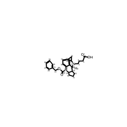 [2H]C1(N(CCCC(=O)O)C2CC2)c2ccccc2N(C(=O)OCc2ccccc2)C2CCCC21